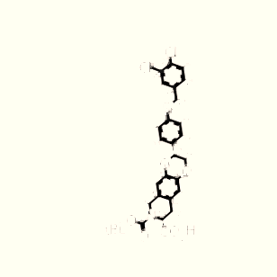 CC(C)(C)OC(=O)N1Cc2cc3c(cc2C[C@H]1C(=O)O)OC[C@H](c1ccc(OCc2ccc(Cl)c(Cl)c2)cc1)O3